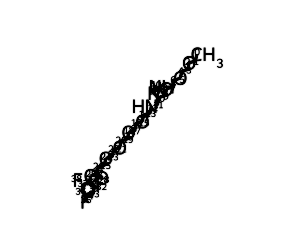 CCOCCOCCOC/C(=C/NCCOCCOCCOCCOCCC(=O)Oc1c(F)cc(F)cc1F)N=N